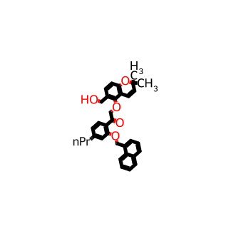 CCCc1ccc(C(=O)COc2c(CO)ccc3c2C=CC(C)(C)O3)c(OCc2cccc3ccccc23)c1